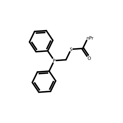 CCCC(=O)SCP(c1ccccc1)c1ccccc1